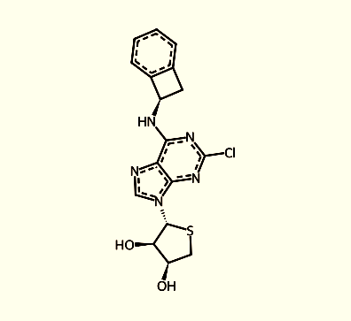 O[C@@H]1[C@H](O)CS[C@H]1n1cnc2c(N[C@@H]3Cc4ccccc43)nc(Cl)nc21